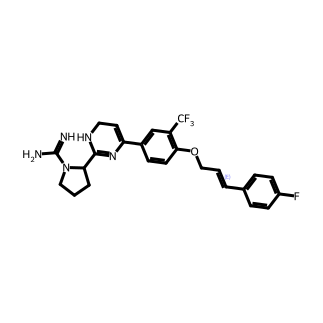 N=C(N)N1CCCC1C1=NC(c2ccc(OC/C=C/c3ccc(F)cc3)c(C(F)(F)F)c2)=CCN1